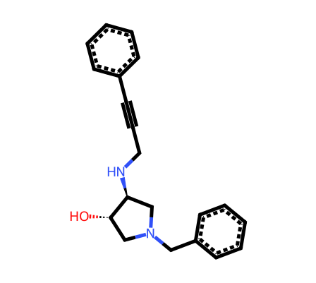 O[C@H]1CN(Cc2ccccc2)C[C@@H]1NCC#Cc1ccccc1